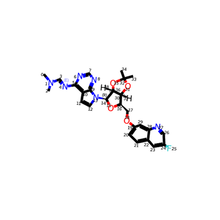 CN(C)/C=N/c1ncnc2c1ccn2[C@@H]1O[C@H](COc2ccc3cc(F)cnc3c2)[C@H]2OC(C)(C)O[C@H]21